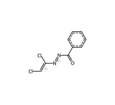 O=C(/N=N/C(Cl)=C/Cl)c1ccccc1